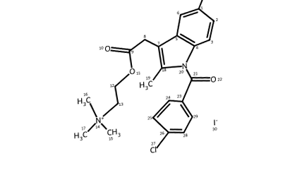 COc1ccc2c(c1)c(CC(=O)OCC[N+](C)(C)C)c(C)n2C(=O)c1ccc(Cl)cc1.[I-]